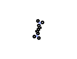 CC1(C)c2cc(N(c3ccccc3)c3ccccc3)ccc2-c2cc3c(cc21)C1C=CC(N(c2ccccc2)C2C=CC=CC2)=CC1C3(C)C